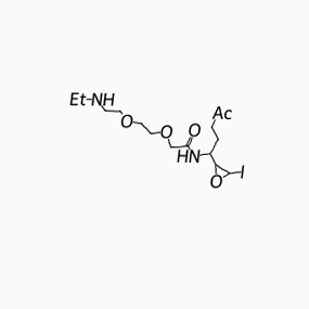 CCNCCOCCOCC(=O)NC(CCC(C)=O)C1OC1I